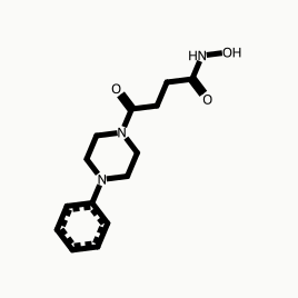 O=C(CCC(=O)N1CCN(c2ccccc2)CC1)NO